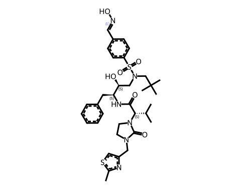 Cc1nc(CN2CCN([C@H](C(=O)N[C@@H](Cc3ccccc3)[C@@H](O)CN(CC(C)(C)C)S(=O)(=O)c3ccc(/C=N/O)cc3)C(C)C)C2=O)cs1